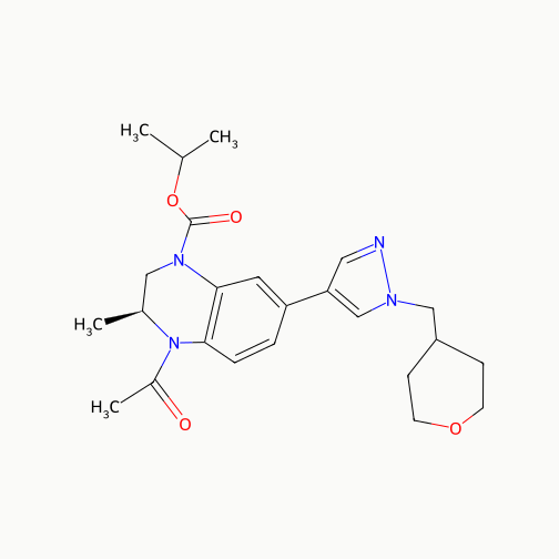 CC(=O)N1c2ccc(-c3cnn(CC4CCOCC4)c3)cc2N(C(=O)OC(C)C)C[C@@H]1C